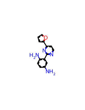 Nc1ccc(N)c(-c2nccc(-c3ccco3)n2)c1